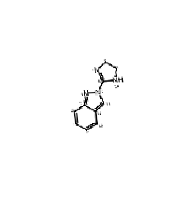 c1ccc2nn(C3=NCCN3)cc2c1